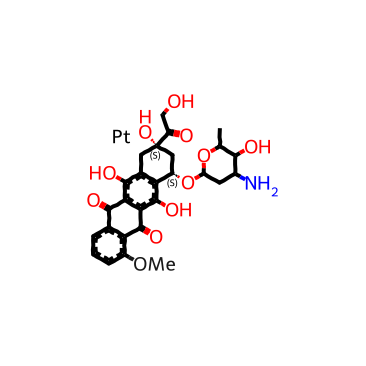 COc1cccc2c1C(=O)c1c(O)c3c(c(O)c1C2=O)C[C@@](O)(C(=O)CO)C[C@@H]3OC1CC(N)C(O)C(C)O1.[Pt]